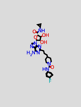 Nc1nc(CCCC2CCN(C(=O)Nc3ccc(F)cc3)CC2)nc2c1ncn2[C@@H]1O[C@H](C(=O)NC2CC2)C(O)[C@@H]1O